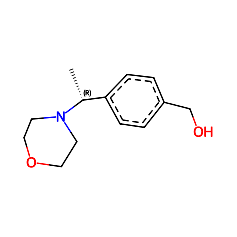 C[C@H](c1ccc(CO)cc1)N1CCOCC1